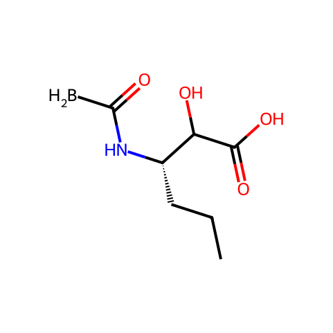 BC(=O)N[C@@H](CCC)C(O)C(=O)O